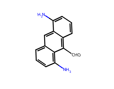 Nc1cccc2c(C=O)c3c(N)cccc3cc12